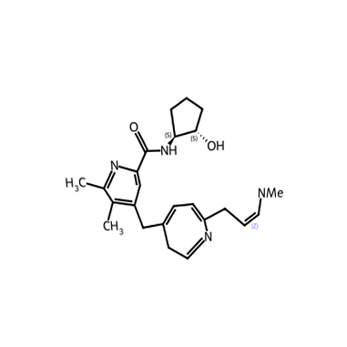 CN/C=C\CC1=CC=C(Cc2cc(C(=O)N[C@H]3CCC[C@@H]3O)nc(C)c2C)CC=N1